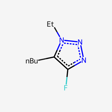 CCCCc1c(F)nnn1CC